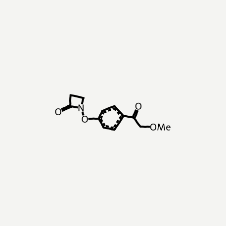 COCC(=O)c1ccc(ON2CCC2=O)cc1